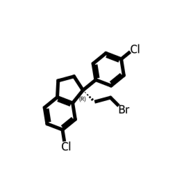 Clc1ccc([C@]2(CCBr)CCc3ccc(Cl)cc32)cc1